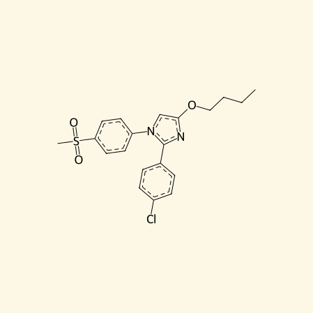 CCCCOc1cn(-c2ccc(S(C)(=O)=O)cc2)c(-c2ccc(Cl)cc2)n1